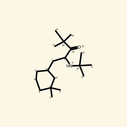 CC1(C)CCCC(CC(NC(C)(C)C)C(=O)C(C)(C)C)C1